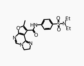 CCN(CC)S(=O)(=O)c1ccc(NC(=O)c2c(C)oc3c2C2=NCCN2C=N3)cc1